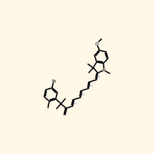 C=C(/C=C/C=C/C=C/C=C1/N(C)c2ccc(OC)cc2C1(C)C)C(C)(C)c1cc(Br)ccc1C